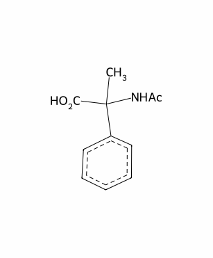 CC(=O)NC(C)(C(=O)O)c1ccccc1